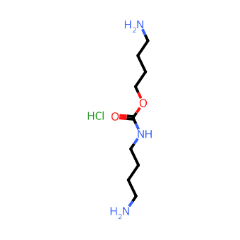 Cl.NCCCCNC(=O)OCCCCN